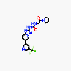 O=C(NCC(=O)N1CCCC1)Nc1nc2ccc(-c3cncc(C(F)(F)F)c3)cn2n1